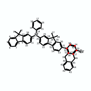 CC1(C)c2ccccc2-c2ccc(N(c3ccccc3)c3ccc4c(c3)C(C)(C)c3cc(-c5ccc(Br)c6c5C5c7ccccc7C6c6ccccc65)ccc3-4)cc21